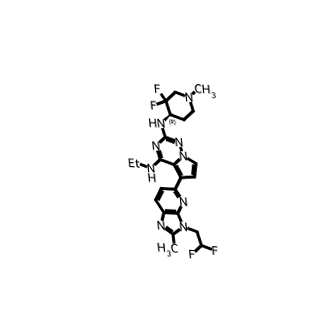 CCNc1nc(N[C@@H]2CCN(C)CC2(F)F)nn2ccc(-c3ccc4nc(C)n(CC(F)F)c4n3)c12